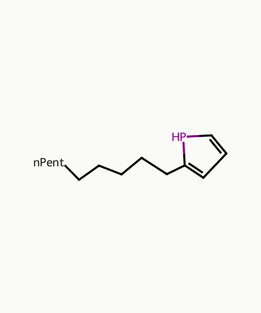 CCCCCCCCCCc1ccc[pH]1